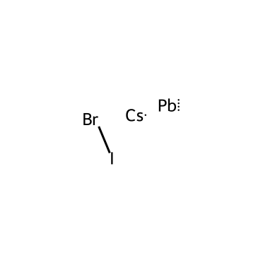 BrI.[Cs].[Pb]